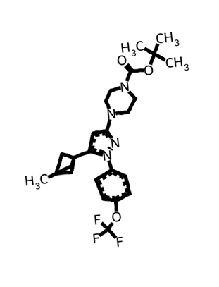 CC12CC(c3cc(N4CCN(C(=O)OC(C)(C)C)CC4)nn3-c3ccc(OC(F)(F)F)cc3)(C1)C2